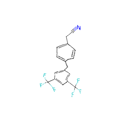 N#CCc1ccc(-c2cc(C(F)(F)F)cc(C(F)(F)F)c2)cc1